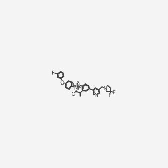 C=C(C(=O)Nc1ccc(Oc2cccc(F)c2)cc1)c1cc(-c2cncc(CN3CCC(F)(F)C3)c2)ccc1NC